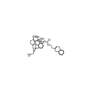 COC12CCC3(CC1C(C)(O)C(C)(C)C)C1N(CC4CC4)C14CC31c3c4ccc(OS(=O)OCCC4=CCc5ccccc5C4)c3OC21